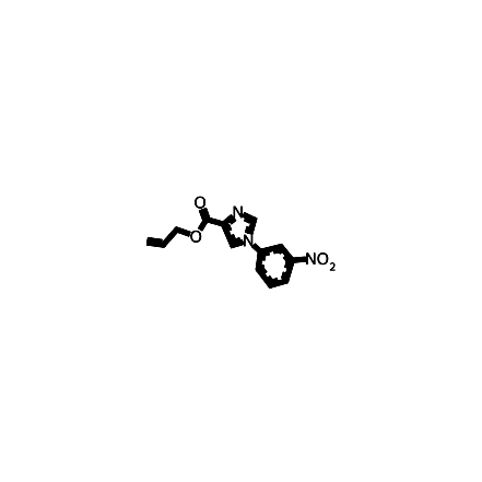 C=CCOC(=O)c1cn(-c2cccc([N+](=O)[O-])c2)cn1